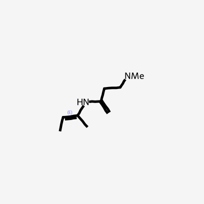 C=C(CCNC)N/C(C)=C/C